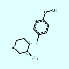 COc1ccc(O[C@H]2CCNC[C@@H]2C)cn1